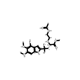 COC(=O)[C@H](CC(F)(F)c1cc2c(F)c(OC)c(OC)cc2s1)OCCOC(C)=O